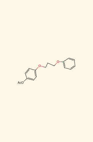 CC(=O)Oc1ccc(OCCCOc2ccccc2)cc1